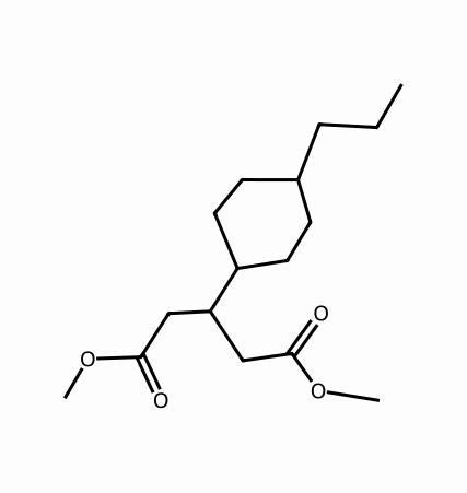 CCCC1CCC(C(CC(=O)OC)CC(=O)OC)CC1